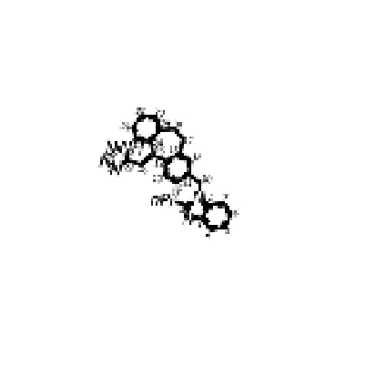 CCCc1nc2ccccc2n1Cc1ccc2c(c1)CCc1ccccc1/C2=C\c1nnn[nH]1